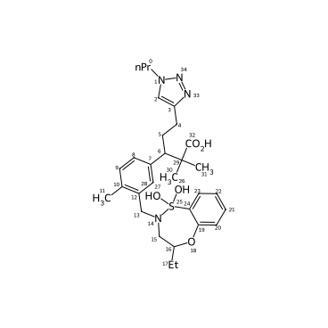 CCCn1cc(CCC(c2ccc(C)c(CN3CC(CC)Oc4ccccc4S3(O)O)c2)C(C)(C)C(=O)O)nn1